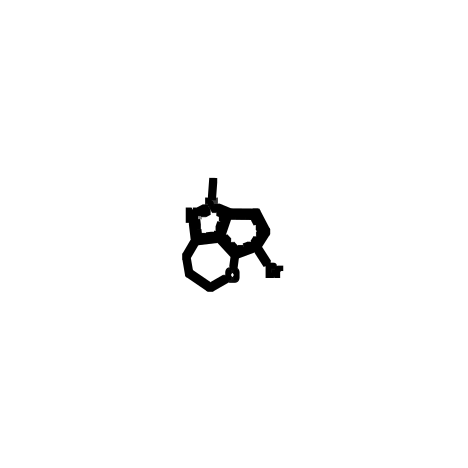 Cn1nc2c3c(c(Br)ccc31)OCCC2